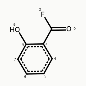 O=C(F)c1ccccc1O